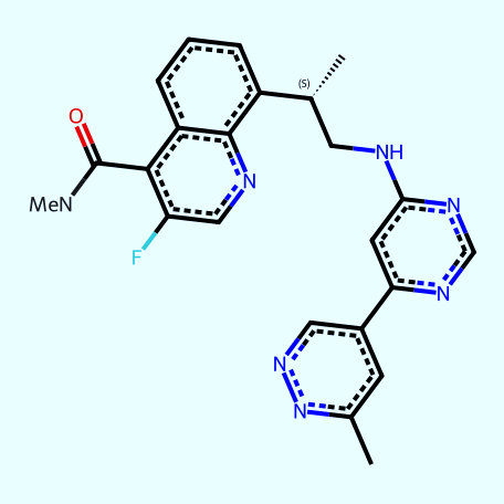 CNC(=O)c1c(F)cnc2c([C@H](C)CNc3cc(-c4cnnc(C)c4)ncn3)cccc12